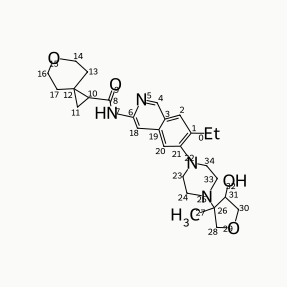 CCc1cc2cnc(NC(=O)C3CC34CCOCC4)cc2cc1N1CCN(C2(C)COCC2O)CC1